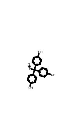 O=PC(c1ccc(O)cc1)(c1ccc(O)cc1)c1ccc(O)cc1